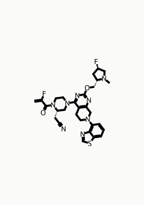 C=C(F)C(=O)N1CCN(c2nc(OC[C@@H]3C[C@@H](F)CN3C)nc3c2CCN(c2cccc4scnc24)C3)C[C@@H]1CC#N